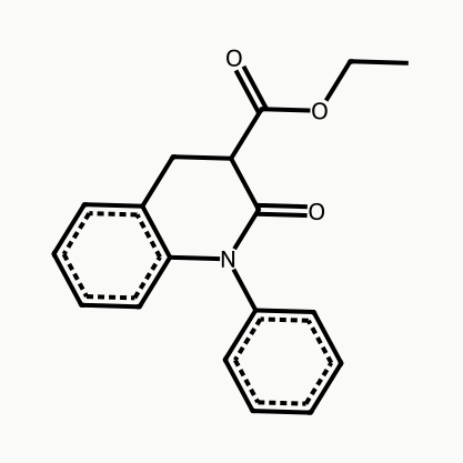 CCOC(=O)C1Cc2ccccc2N(c2ccccc2)C1=O